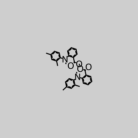 Cc1ccc(N(C)c2ccccc2C(=O)OOC(=O)c2ccccc2N(C)c2ccc(C)cc2C)c(C)c1